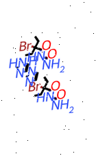 CCC(Br)(CC)C(=O)NC(N)=O.CCC(Br)(CC)C(=O)NC(N)=O.c1c[nH]cn1.c1c[nH]cn1